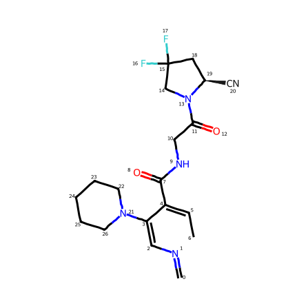 C=N/C=C(\C(=C/C)C(=O)NCC(=O)N1CC(F)(F)C[C@H]1C#N)N1CCCCC1